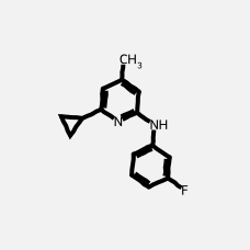 Cc1cc(Nc2cccc(F)c2)nc(C2CC2)c1